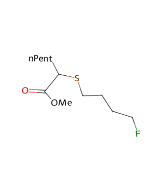 CCCCCC(SCCCCF)C(=O)OC